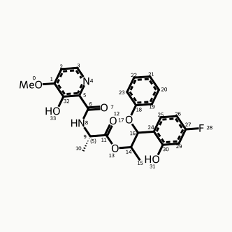 COc1ccnc(C(=O)N[C@@H](C)C(=O)OC(C)C(Oc2ccccc2)c2ccc(F)cc2O)c1O